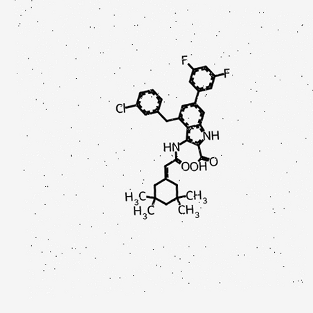 CC1(C)CC(=CC(=O)Nc2c(C(=O)O)[nH]c3cc(-c4cc(F)cc(F)c4)cc(Cc4cccc(Cl)c4)c23)CC(C)(C)C1